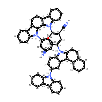 C[C@@H]1C(n2c3ccccc3c3ccc4c5ccccc5n(-c5ccccc5)c4c32)=C(C#N)C=C(n2c3ccc(-n4c5ccccc5c5ccccc54)cc3c3c4ccccc4ccc32)[C@@H]1C#N